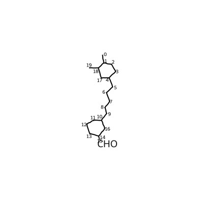 CC1CCC(CCCCCC2CCCC(C=O)C2)CC1C